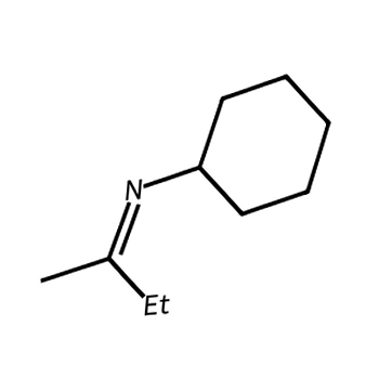 CC/C(C)=N\C1CCCCC1